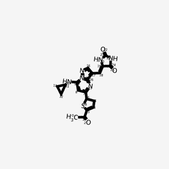 CC(=O)C1=CCC(c2cc(NC3CC3)n3ncc(/C=C4\NC(=O)NC4=O)c3n2)S1